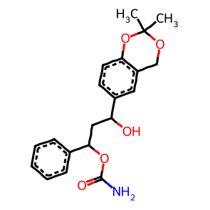 CC1(C)OCc2cc(C(O)CC(OC(N)=O)c3ccccc3)ccc2O1